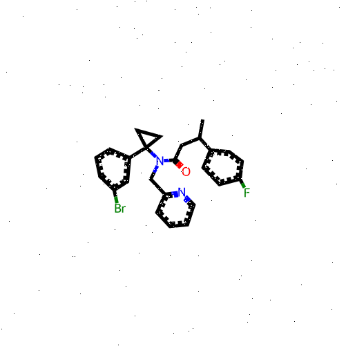 CC(CC(=O)N(Cc1ccccn1)C1(c2cccc(Br)c2)CC1)c1ccc(F)cc1